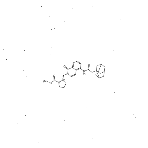 CC(C)(C)OC(=O)N1CCC[C@@H]1Cn1ccc2c(NC(=O)CC34CC5CC(CC(C5)C3)C4)cccc2c1=O